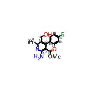 COC(=O)c1c(N)nc(C(C)C)c(CO)c1-c1ccc(F)cc1